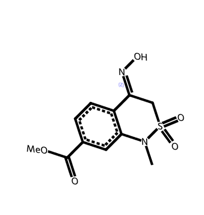 COC(=O)c1ccc2c(c1)N(C)S(=O)(=O)C/C2=N\O